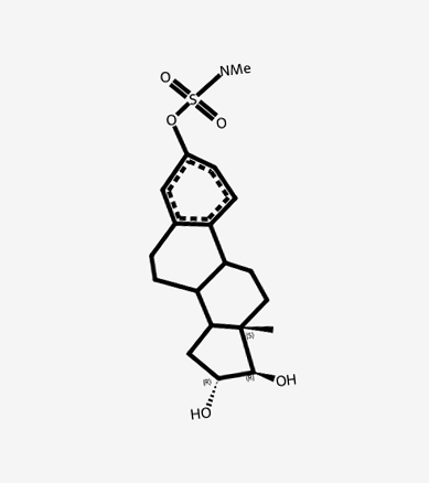 CNS(=O)(=O)Oc1ccc2c(c1)CCC1C2CC[C@@]2(C)C1C[C@@H](O)[C@@H]2O